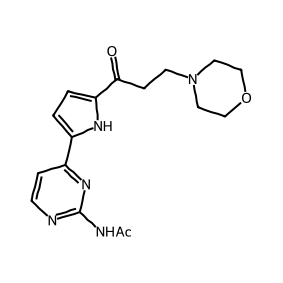 CC(=O)Nc1nccc(-c2ccc(C(=O)CCN3CCOCC3)[nH]2)n1